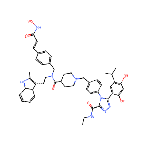 CCNC(=O)c1nnc(-c2cc(C(C)C)c(O)cc2O)n1-c1ccc(CN2CCC(C(=O)N(CCC3=C(C)NC4C=CC=CC34)Cc3ccc(/C=C/C(=O)NO)cc3)CC2)cc1